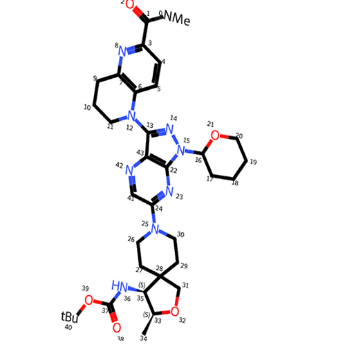 CNC(=O)c1ccc2c(n1)CCCN2c1nn(C2CCCCO2)c2nc(N3CCC4(CC3)CO[C@@H](C)[C@H]4NC(=O)OC(C)(C)C)cnc12